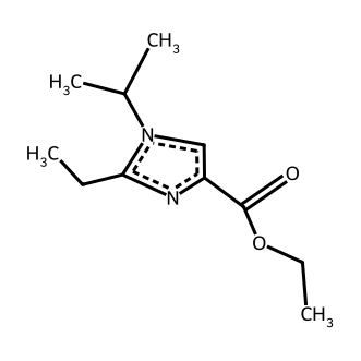 CCOC(=O)c1cn(C(C)C)c(CC)n1